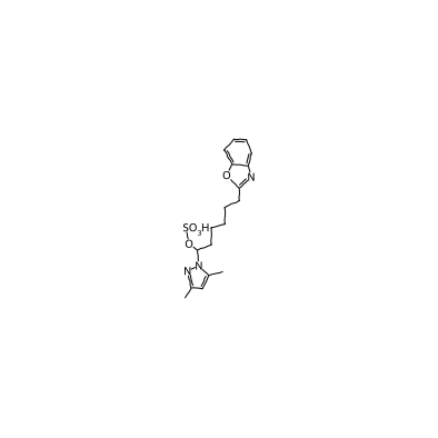 Cc1cc(C)n(C(CCCCCc2nc3ccccc3o2)OS(=O)(=O)O)n1